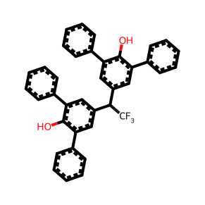 Oc1c(-c2ccccc2)cc(C(c2cc(-c3ccccc3)c(O)c(-c3ccccc3)c2)C(F)(F)F)cc1-c1ccccc1